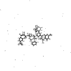 C[C@H](NC[C@H](Cc1ccccn1)NC(=O)c1cc(C(=O)N[C@H](C)c2ccc(Br)cc2)cc(N2CCCNS2(=O)=O)c1)C(=O)N[C@H](C)c1ccc([N+](=O)[O-])cc1